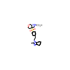 Cc1nc2ccccc2n1CCc1ccc(S(=O)(=O)C2(CNC(=O)O)CCOCC2)cc1